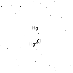 [Cl-].[Hg+2].[Hg].[I-]